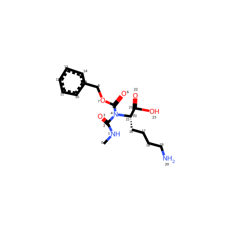 CNC(=O)N(C(=O)OCc1ccccc1)[C@@H](CCCCN)C(=O)O